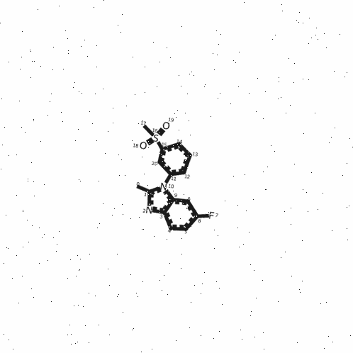 Cc1nc2ccc(F)cc2n1-c1cccc(S(C)(=O)=O)c1